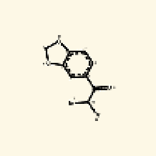 O=C(c1ccc2c(c1)OCO2)C(Br)Br